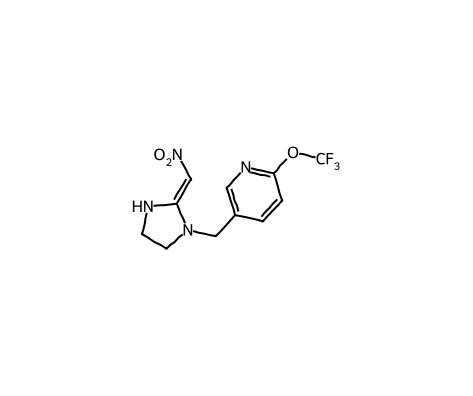 O=[N+]([O-])C=C1NCCN1Cc1ccc(OC(F)(F)F)nc1